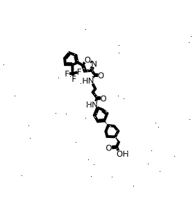 O=C(O)C[C@H]1CC[C@H](c2ccc(NC(=O)CCNC(=O)c3cc(-c4ccccc4C(F)(F)F)on3)cc2)CC1